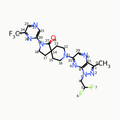 Cc1nn(CC(F)F)c2nc(N3CCC4(CC3)CCN(c3cncc(C(F)(F)F)n3)C4=O)cnc12